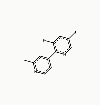 Cc1cc(-c2ncc(I)cc2F)ccn1